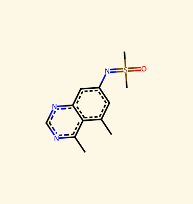 Cc1cc(N=S(C)(C)=O)cc2ncnc(C)c12